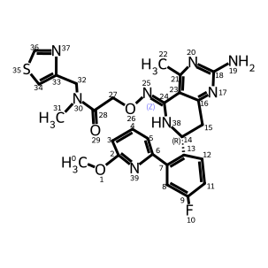 COc1cccc(-c2cc(F)ccc2[C@H]2Cc3nc(N)nc(C)c3/C(=N/OCC(=O)N(C)Cc3cscn3)N2)n1